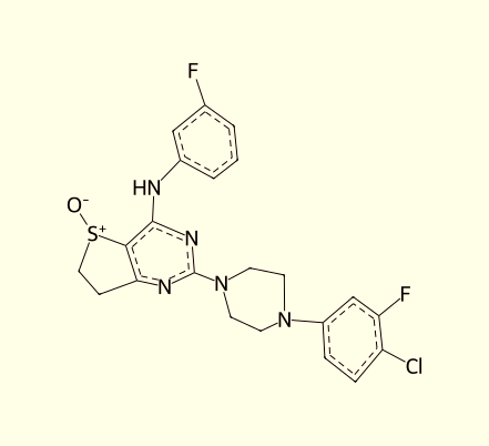 [O-][S+]1CCc2nc(N3CCN(c4ccc(Cl)c(F)c4)CC3)nc(Nc3cccc(F)c3)c21